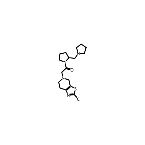 O=C(CN1CCc2nc(Cl)sc2C1)N1CCCC1CN1CCCC1